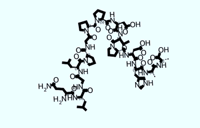 CC(C)C[C@H](NC(=O)[C@@H](N)CCC(N)=O)C(=O)NCC(=O)N[C@@H](CC(C)C)C(=O)N1CCC[C@H]1C(=O)NCC(=O)N1CCC[C@H]1C(=O)N1CCC[C@H]1C(=O)N[C@@H](CC(=O)O)C(=O)N[C@H](C(=O)N1CCC[C@H]1C(=O)N[C@@H](CC(=O)O)C(=O)N[C@@H](Cc1c[nH]cn1)C(=O)N[C@@H](C)C(=O)N[C@@H](C)C(=O)O)C(C)C